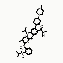 CNC(=O)c1cc(Nc2ncc(C)c(Nc3ccccc3S(=O)(=O)C(C)C)n2)c(OC(C)C)cc1C1=CCC(N2CCN(C)CC2)CC1